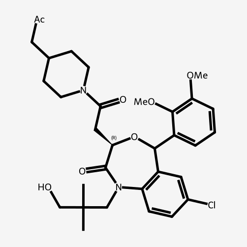 COc1cccc(C2O[C@H](CC(=O)N3CCC(CC(C)=O)CC3)C(=O)N(CC(C)(C)CO)c3ccc(Cl)cc32)c1OC